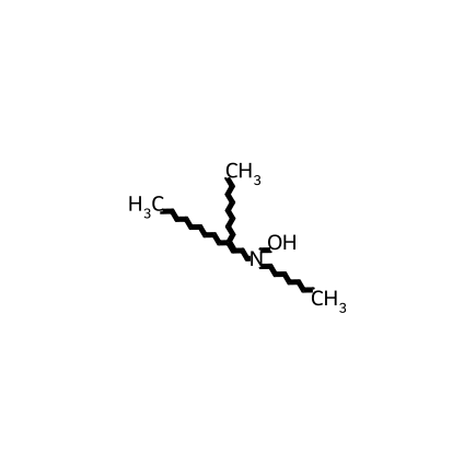 CCCCCCCCCC/C(=C/CCN(CCO)CCCCCCCCC)CCCCCCCCC